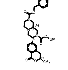 C[C@@H]1Cc2cc([C@@H]3CN4CCN(C(=O)OCc5ccccc5)C[C@H]4CN3C(=O)OC(C)(C)C)ccc2C(=O)O1